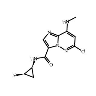 CNc1cc(Cl)nn2c(C(=O)N[C@H]3C[C@H]3F)cnc12